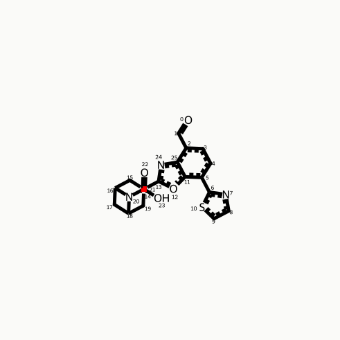 O=Cc1ccc(-c2nccs2)c2oc(N3CC4CC(C3)N4C(=O)O)nc12